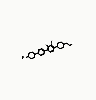 CCC1CCC(c2ccc(-c3ccc(C4CCC(CCF)CC4)c(F)c3F)cc2)CC1